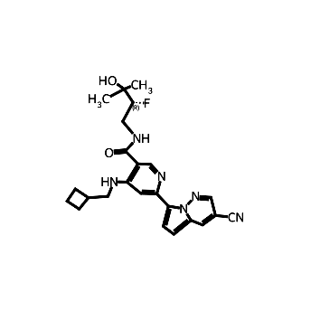 CC(C)(O)[C@H](F)CNC(=O)c1cnc(-c2ccc3cc(C#N)cnn23)cc1NCC1CCC1